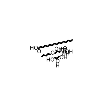 CCCCCCCCCCCCCCCC(=O)O.CCCCCOCC(O)COP(=O)(O)O.OCC(O)CO